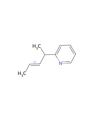 C/C=C/C(C)c1ccccn1